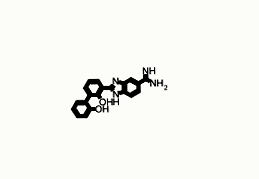 N=C(N)c1ccc2[nH]c(-c3cccc(-c4ccccc4O)c3O)nc2c1